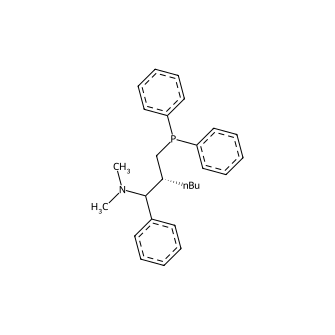 CCCC[C@@H](CP(c1ccccc1)c1ccccc1)C(c1ccccc1)N(C)C